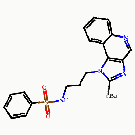 CCCCc1nc2cnc3ccccc3c2n1CCCNS(=O)(=O)c1ccccc1